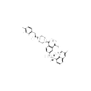 Cc1ccc(CC(=O)N2CCN(C(=O)c3ccc(NS(=O)(=O)c4cccc5cc(C)cnc45)cc3C(=O)I)CC2)cc1